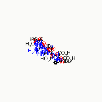 CC[C@H](C)[C@H](NC(=O)[C@H](Cc1ccccc1)NC(=O)[C@H](CCC(=O)O)NC(=O)[C@H](CCC(=O)O)NC(=O)[C@H](CCC(N)=O)NC(=O)[C@H](Cc1c[nH]cn1)NC(=O)[C@@H](NC(=O)[C@H](CCCNC(=N)N)NC(=O)[C@H](CC(=O)O)NC(=O)[C@H](CC(C)C)NC(=O)[C@H](C)N)[C@@H](C)CC)C(=O)O